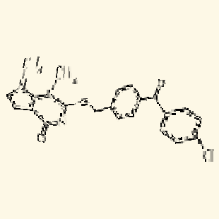 Cn1ccc2c(=O)nc(SCc3ccc(C(=O)c4ccc(Cl)cc4)cc3)n(C)c21